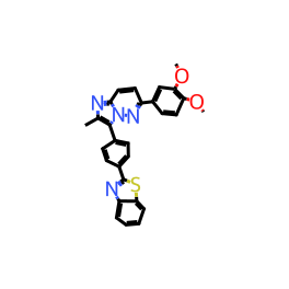 COc1ccc(-c2ccc3nc(C)c(-c4ccc(-c5nc6ccccc6s5)cc4)n3n2)cc1OC